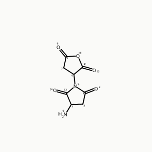 NC1CC(=O)N(C2CC(=O)OC2=O)C1=O